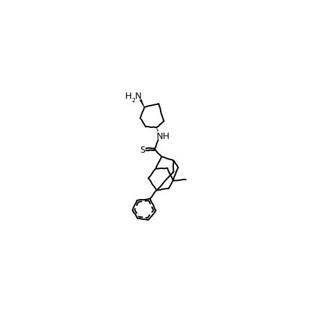 CC12CC3CC(c4ccccc4)(CC(C1)C3C(=S)N[C@H]1CC[C@H](N)CC1)C2